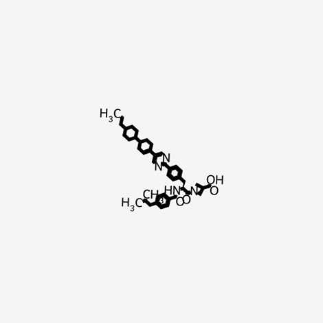 CCCC1CCC(C2CC=C(c3cnc(-c4ccc(C[C@H](NC(=O)c5ccc(CC(C)C)cc5)C(=O)N5CC(C(=O)O)C5)cc4)nc3)CC2)CC1